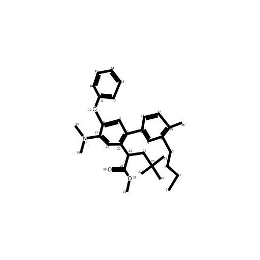 CCCCc1cc(-c2cc(Oc3ccccc3)c(N(C)C)cc2C(CC(C)(C)C)C(=O)OC)ccc1C